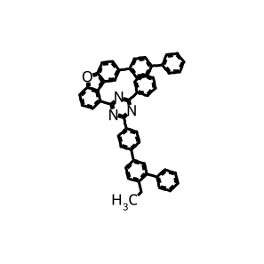 CCc1ccc(-c2ccc(-c3nc(-c4ccccc4)nc(-c4cccc5oc6ccc(-c7ccc(-c8ccccc8)cc7)cc6c45)n3)cc2)cc1-c1ccccc1